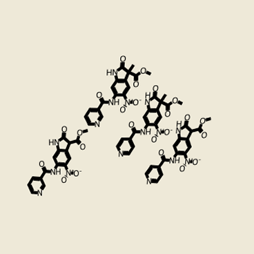 COC(=O)C1(C)C(=O)Nc2cc(NC(=O)c3cccnc3)c([N+](=O)[O-])cc21.COC(=O)C1(C)C(=O)Nc2cc(NC(=O)c3ccncc3)c([N+](=O)[O-])cc21.COC(=O)C1C(=O)Nc2cc(NC(=O)c3cccnc3)c([N+](=O)[O-])cc21.COC(=O)C1C(=O)Nc2cc(NC(=O)c3ccncc3)c([N+](=O)[O-])cc21